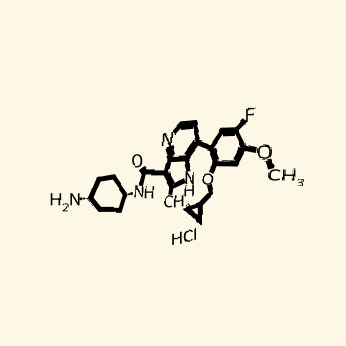 COc1cc(OCC2CC2)c(-c2ccnc3c(C(=O)N[C@H]4CC[C@@H](N)CC4)c(C)[nH]c23)cc1F.Cl